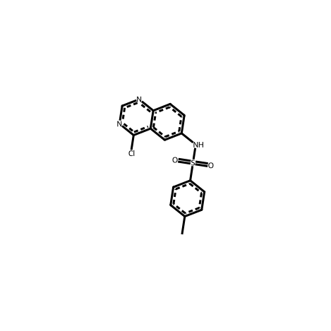 Cc1ccc(S(=O)(=O)Nc2ccc3ncnc(Cl)c3c2)cc1